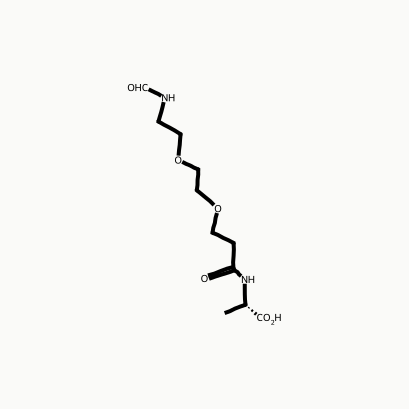 C[C@H](NC(=O)CCOCCOCCNC=O)C(=O)O